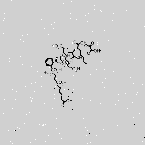 C=CC(=O)O.CC(C)C(=O)O.CCCCCC(=O)O.CCCCCCC(=O)O.O=C(O)C(=O)O.O=C(O)CC(=O)O.O=C(O)CCC(=O)O.O=C(O)CCCCCCC(=O)O.O=C(O)c1ccccc1